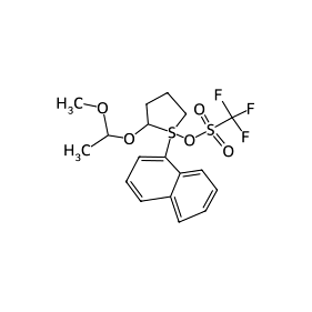 COC(C)OC1CCCS1(OS(=O)(=O)C(F)(F)F)c1cccc2ccccc12